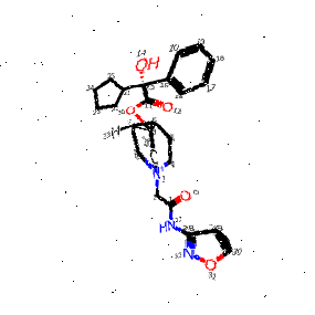 O=C(C[N+]12CCC(CC1)[C@@H](OC(=O)[C@](O)(c1ccccc1)C1CCCC1)C2)Nc1ccon1